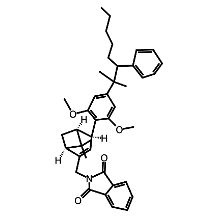 CCCCCC(c1ccccc1)C(C)(C)c1cc(OC)c([C@H]2C=C(CN3C(=O)c4ccccc4C3=O)[C@H]3C[C@@H]2C3(C)C)c(OC)c1